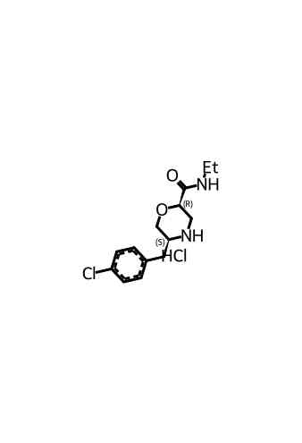 CCNC(=O)[C@H]1CN[C@@H](Cc2ccc(Cl)cc2)CO1.Cl